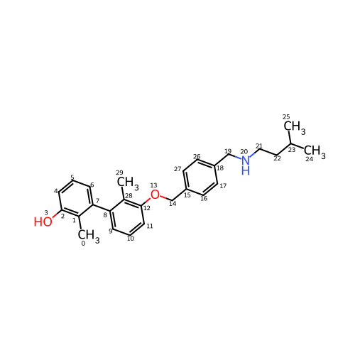 Cc1c(O)cccc1-c1cccc(OCc2ccc(CNCCC(C)C)cc2)c1C